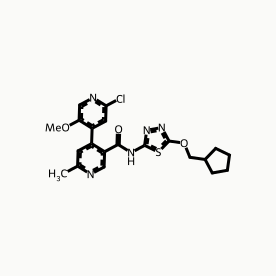 COc1cnc(Cl)cc1-c1cc(C)ncc1C(=O)Nc1nnc(OCC2CCCC2)s1